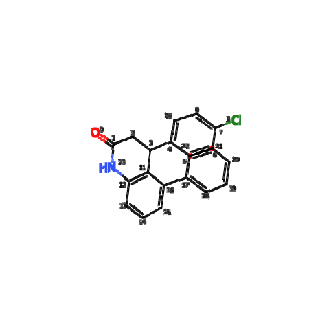 O=C1CC(c2ccc(Cl)cc2)c2c(cccc2-c2ccccc2)N1